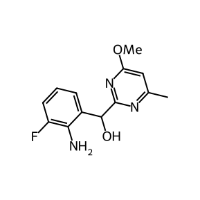 COc1cc(C)nc(C(O)c2cccc(F)c2N)n1